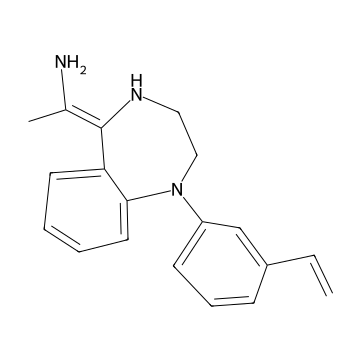 C=Cc1cccc(N2CCN/C(=C(/C)N)c3ccccc32)c1